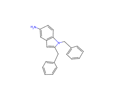 Nc1ccc2c(c1)cc(Cc1ccccc1)n2Cc1ccccc1